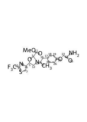 COC(=O)C1OC(c2csc(C(F)(F)F)n2)CN1C(C)Cc1ccc(OCC(N)=O)cc1